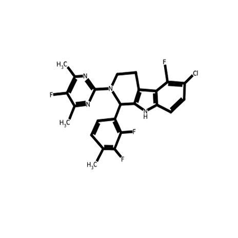 Cc1ccc(C2c3[nH]c4ccc(Cl)c(F)c4c3CCN2c2nc(C)c(F)c(C)n2)c(F)c1F